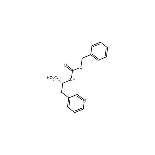 O=C(N[C@H](Cc1cccnc1)C(=O)O)OCc1ccccc1